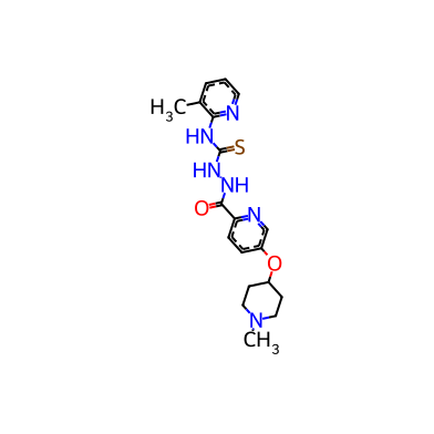 Cc1cccnc1NC(=S)NNC(=O)c1ccc(OC2CCN(C)CC2)cn1